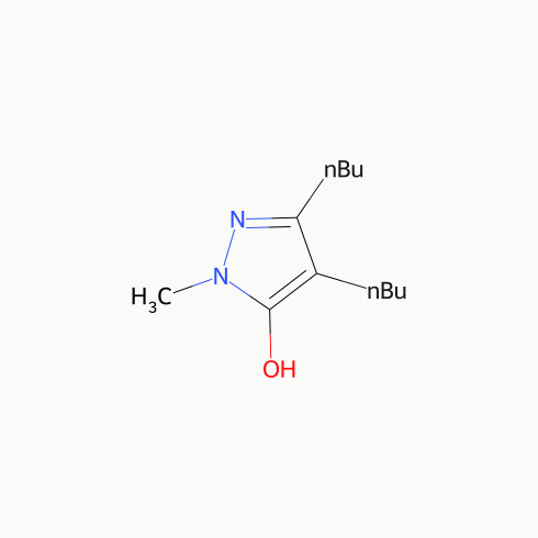 CCCCc1nn(C)c(O)c1CCCC